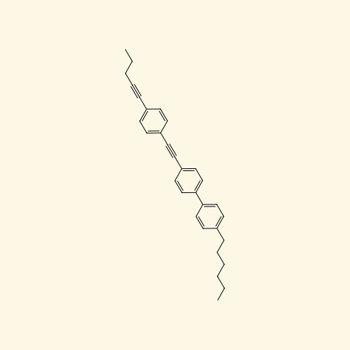 CCCC#Cc1ccc(C#Cc2ccc(-c3ccc(CCCCCC)cc3)cc2)cc1